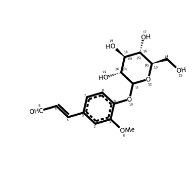 COc1cc(C=CC=O)ccc1OC1O[C@H](CO)[C@@H](O)[C@H](O)[C@H]1O